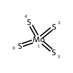 [S]=[Mo](=[S])(=[S])=[S]